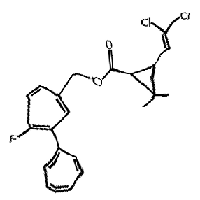 CC1(C)[C@H](C=C(Cl)Cl)[C@@H]1C(=O)OCc1ccc(F)c(-c2ccccc2)c1